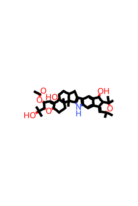 CC(=O)OC1C=C2C(CCC3(C)C2(O)CCC2Cc4c([nH]c5cc6c(cc45)C(O)C4C6=CC(C)(C)OC4(C)C)C23C)OC1C(C)(C)O